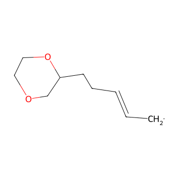 [CH2]C=CCCC1COCCO1